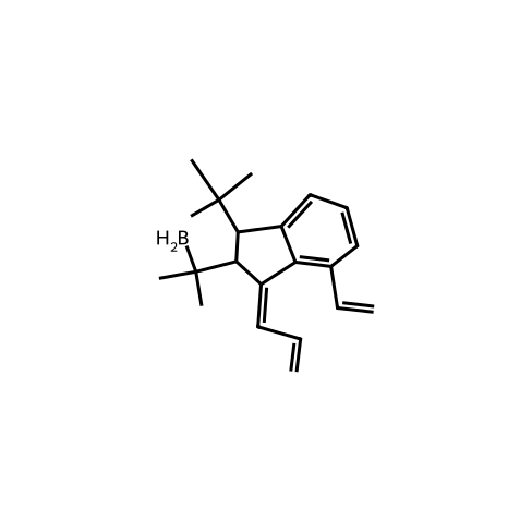 BC(C)(C)C1/C(=C/C=C)c2c(C=C)cccc2C1C(C)(C)C